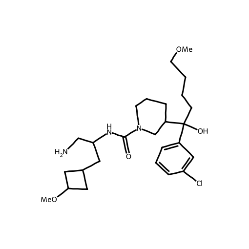 COCCCCC(O)(c1cccc(Cl)c1)C1CCCN(C(=O)NC(CN)CC2CC(OC)C2)C1